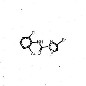 CC(=O)c1cccc(Cl)c1NC(=O)c1nc(Br)cs1